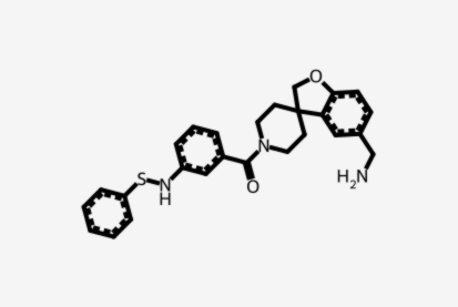 NCc1ccc2c(c1)C1(CCN(C(=O)c3cccc(NSc4ccccc4)c3)CC1)CO2